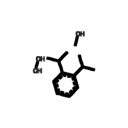 CC(C)c1ccccc1C(C)C.CO.OO